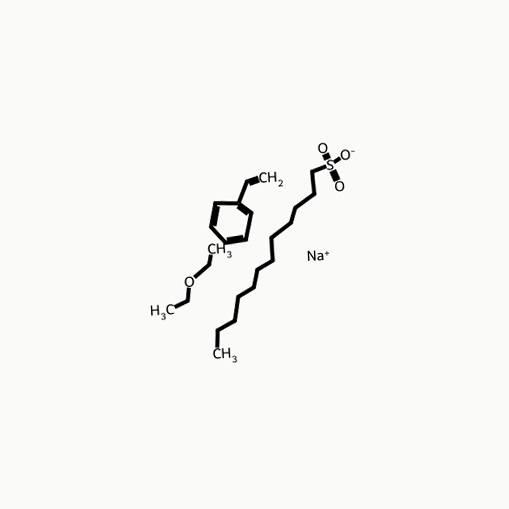 C=Cc1ccccc1.CCCCCCCCCCCCS(=O)(=O)[O-].CCOCC.[Na+]